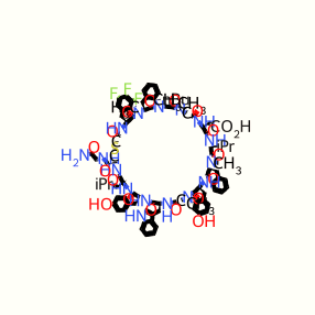 CCCC[C@H]1C(=O)N(C)CC(=O)N[C@@H](CC(=O)O)C(=O)N[C@@H](C(C)C)C(=O)N(C)[C@@H](Cc2ccccc2)C(=O)N[C@@H](Cc2ccc(O)cc2)C(=O)N(C)CC(=O)N[C@@H](Cc2c[nH]c3ccccc23)C(=O)N[C@@H](Cc2ccc(O)cc2)C(=O)N[C@@H](CC(C)C)C(=O)N[C@H](C(=O)NCC(N)=O)CSCC(=O)N[C@@H](Cc2cc(F)c(F)c(F)c2)C(=O)N(C)[C@@H](Cc2ccccc2)C(=O)N1C